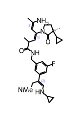 CNC/C(=C\NC1CC1)c1cc(F)cc(CNC(=O)C(C)/C=C(\C=C(\C)N)N2CC[C@@](C)(C3CC3)C2=O)c1